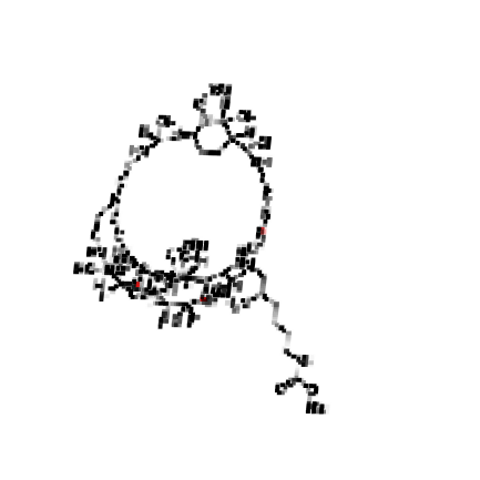 CCCCON1[C@H](O)[C@H]2CC[C@@H]1[C@@H](O)NCCN1CCN[C@H](O)[C@H]3CC[C@H]([C@@H](O)N3OCCCC)[C@@H](O)NCCN(CCN[C@@H]2O)CCN(CC(N)CCCCNC(=O)OC(C)(C)C)CCN[C@H](O)[C@@H]2CC[C@H]([C@@H](O)NCC1)N(OCCCC)[C@@H]2O